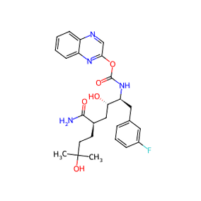 CC(C)(O)CC[C@H](C[C@H](O)[C@H](Cc1cccc(F)c1)NC(=O)Oc1cnc2ccccc2n1)C(N)=O